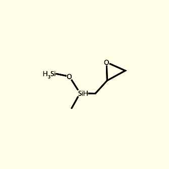 C[SiH](CC1CO1)O[SiH3]